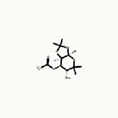 CO[C@@H]1[C@@H](OC(N)=O)[C@H]2OC(C)(C)O[C@H]2OC1(C)C